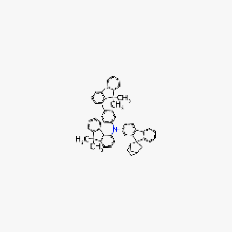 CC1(C)c2ccccc2-c2c(N(c3ccc(-c4cccc5c4C(C)(C)c4ccccc4-5)cc3)c3ccc4c(c3)C3(CC5CCC3C5)c3ccccc3-4)cccc21